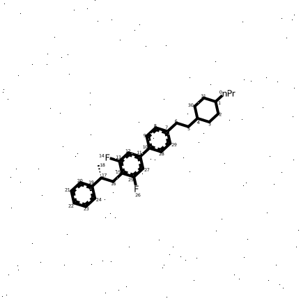 CCCC1CCC(CCc2ccc(-c3cc(F)c(C[C@@H](C)c4ccccc4)c(F)c3)cc2)CC1